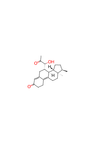 CC(=O)C(O)[C@H]1CC2=CC(=O)CCC2=C2CC[C@]3(C)[C@H](C)CC[C@H]3[C@@H]21